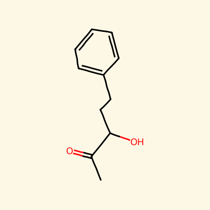 CC(=O)C(O)CCc1ccccc1